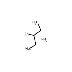 CCC(Cl)CC.N